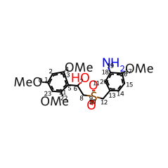 COc1cc(OC)c(C(O)CS(=O)(=O)Cc2ccc(OC)c(N)c2)c(OC)c1